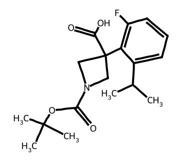 CC(C)c1cccc(F)c1C1(C(=O)O)CN(C(=O)OC(C)(C)C)C1